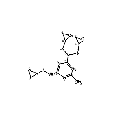 Nc1nc(NCC2CO2)nc(N(CC2CO2)CC2CO2)n1